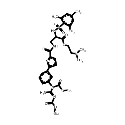 Cc1cc(C)c(S(=O)(=O)NC(CNC(=O)c2ccc(-c3cccc(N(C(=O)OC(C)(C)C)/C(N)=N/C(=O)OC(C)(C)C)c3)s2)C(=O)OCCN(C)C)c(C)c1